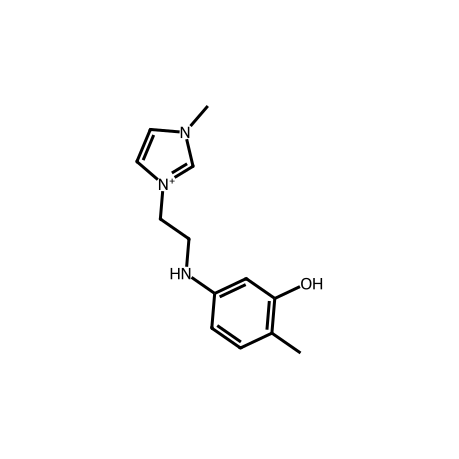 Cc1ccc(NCC[n+]2ccn(C)c2)cc1O